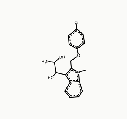 Cn1c(COc2ccc(Cl)cc2)c(C(O)C(N)O)c2ccccc21